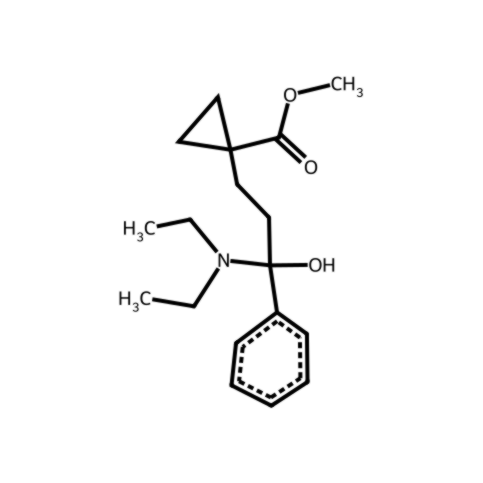 CCN(CC)C(O)(CCC1(C(=O)OC)CC1)c1ccccc1